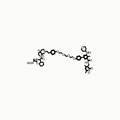 CCN(c1cc(-c2ccc(OCCOCCOCCOc3ccc(CCN4CC[C@@H]5CCN(C(=O)C(NC(=O)C(C)NC)C6CCCCC6)[C@@H]5C4)cc3)cc2)cc(C(=O)NCc2c(C)cc(C)[nH]c2=O)c1C)C1CCOCC1